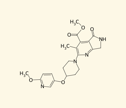 COC(=O)c1c(C)c(N2CCC(Oc3ccc(OC)nc3)CC2)nc2c1C(=O)NC2